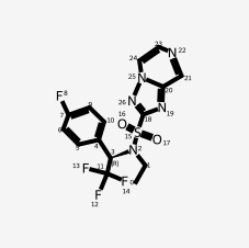 CCN([C@H](c1ccc(F)cc1)C(F)(F)F)S(=O)(=O)c1nc2cnccn2n1